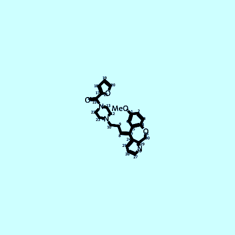 COc1ccc2c(c1)C(=CCCN1CCN(C(=O)c3ccco3)CC1)c1cccnc1CO2